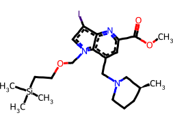 COC(=O)c1cc(CN2CCC[C@H](C)C2)c2c(n1)c(I)cn2COCC[Si](C)(C)C